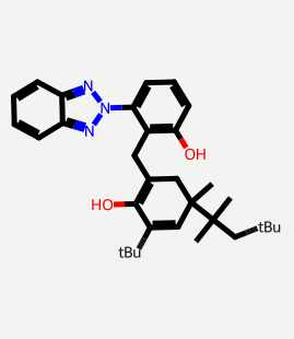 CC(C)(C)CC(C)(C)C1(C)C=C(C(C)(C)C)C(O)=C(Cc2c(O)cccc2-n2nc3ccccc3n2)C1